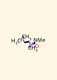 CNC(=O)N(C)CCN(C)C